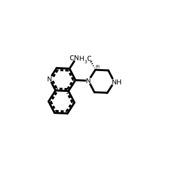 C[C@@H]1CNCCN1c1c(C#N)cnc2ccccc12